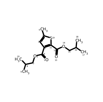 Cc1cc(C(=O)OCC(C)C)c(C(=O)OCC(C)C)s1